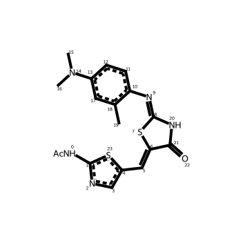 CC(=O)Nc1ncc(C=C2SC(=Nc3ccc(N(C)C)cc3C)NC2=O)s1